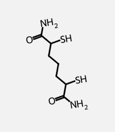 NC(=O)C(S)CCCC(S)C(N)=O